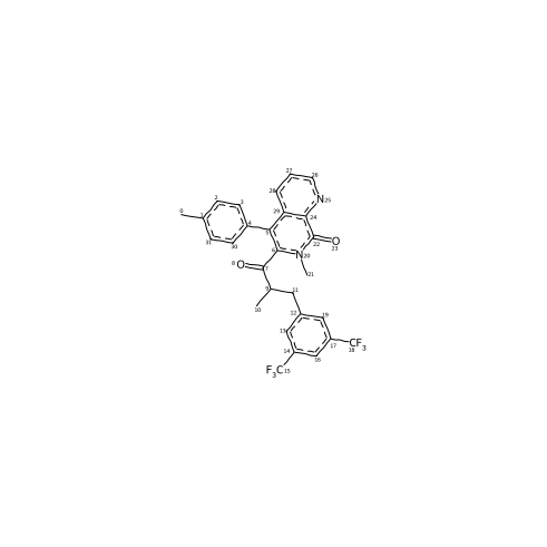 Cc1ccc(-c2c(C(=O)C(C)Cc3cc(C(F)(F)F)cc(C(F)(F)F)c3)n(C)c(=O)c3ncccc23)cc1